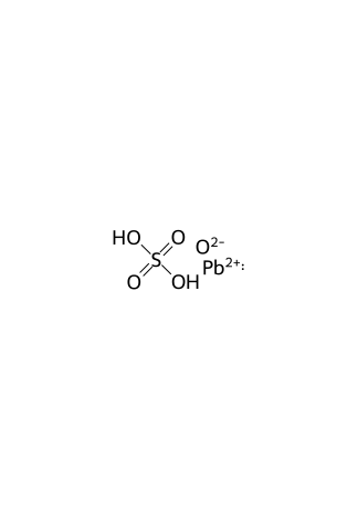 O=S(=O)(O)O.[O-2].[Pb+2]